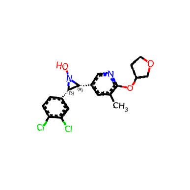 Cc1cc([C@@H]2[C@H](c3ccc(Cl)c(Cl)c3)N2O)cnc1OC1CCOC1